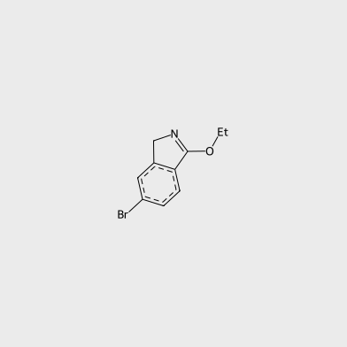 CCOC1=NCc2cc(Br)ccc21